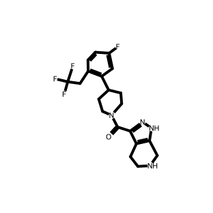 O=C(c1n[nH]c2c1CCNC2)N1CCC(c2cc(F)ccc2CC(F)(F)F)CC1